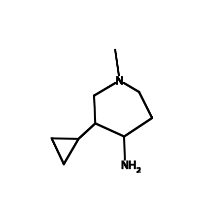 CN1CCC(N)C(C2CC2)C1